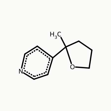 CC1(c2ccncc2)CCCO1